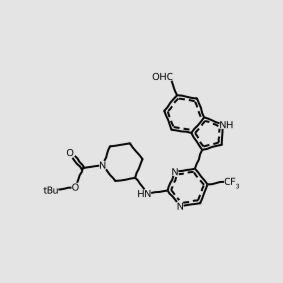 CC(C)(C)OC(=O)N1CCCC(Nc2ncc(C(F)(F)F)c(-c3c[nH]c4cc(C=O)ccc34)n2)C1